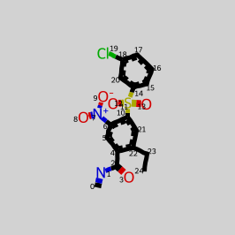 C=NC(=O)c1cc([N+](=O)[O-])c(S(=O)(=O)c2cccc(Cl)c2)cc1CC